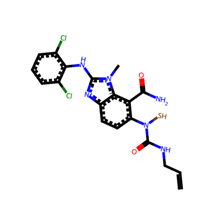 C=CCNC(=O)N(S)c1ccc2nc(Nc3c(Cl)cccc3Cl)n(C)c2c1C(N)=O